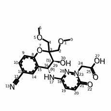 COCC1(COC)Oc2ccc(C#N)cc2[C@@H](Nc2ccc(=O)n(CC(=O)O)n2)[C@@H]1O